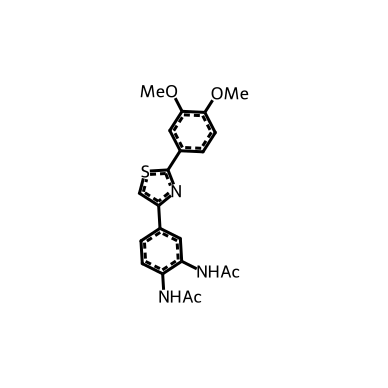 COc1ccc(-c2nc(-c3ccc(NC(C)=O)c(NC(C)=O)c3)cs2)cc1OC